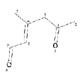 CC(=O)CC(C)=CC=O